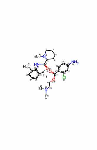 CCCCN1CCCCC1C(=O)Nc1c(C)cccc1C.CCN(CC)CCOC(=O)c1ccc(N)cc1Cl